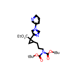 CCOC(=O)C1(c2cn(-c3cccnc3)cn2)CC1CCCN(C(=O)OC(C)(C)C)C(=O)OC(C)(C)C